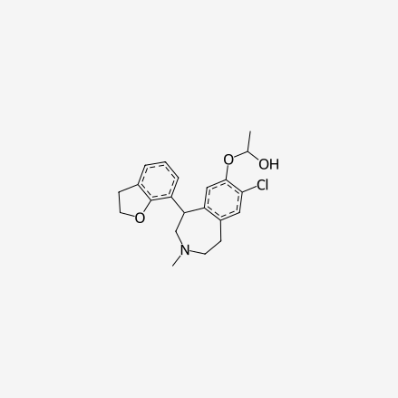 CC(O)Oc1cc2c(cc1Cl)CCN(C)CC2c1cccc2c1OCC2